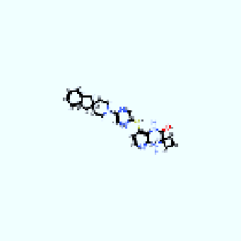 O=C1Nc2c(Sc3cnc(N4CCC5(CC4)Cc4ccccc4C5)cn3)ccnc2NC12CCC2